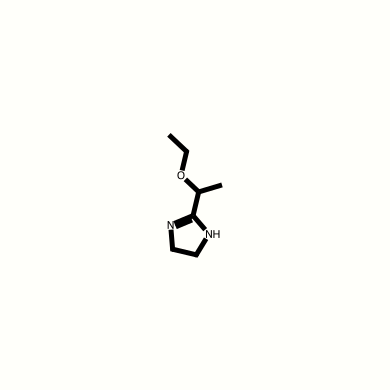 CCOC(C)C1=NCCN1